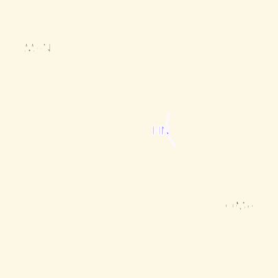 CNCc1cccc(CNCc2ccccc2OC)c1